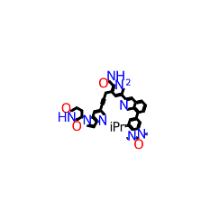 CC(C)c1cc(-c2cccc3cc(-c4cnc(C(N)=O)c(CC#Cc5cnc6ccn(C7CCC(=O)NC7=O)c6c5)c4)ncc23)cc2c1n(C)c(=O)n2C